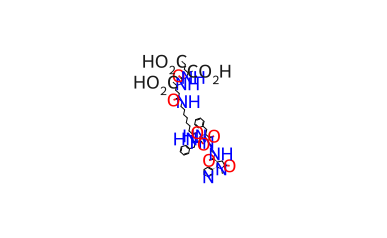 CN1C(=O)C[C@H](C(=O)NCCNC(=O)C(Cc2ccccc2)NC(=O)C(Cc2ccccc2)NC(=O)CCCCCCCNC(=O)CCC(NC(=O)NC(CCC(=O)O)C(=O)O)C(=O)O)[C@H]1c1cccnc1